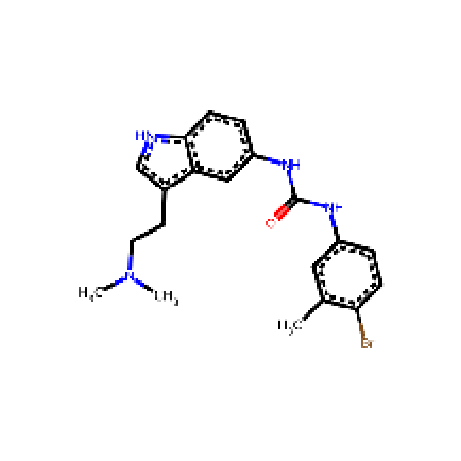 Cc1cc(NC(=O)Nc2ccc3[nH]cc(CCN(C)C)c3c2)ccc1Br